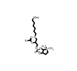 CCCCCCCCCCCCCCCCOCC(COP1(=O)OC2CC[N+](C)(C)C2O1)OC(=O)CC